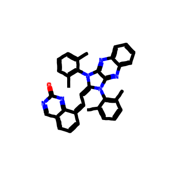 Cc1cccc(C)c1N1C(=C/C=c2/cccc3c2=NC(=O)N=C3)N(c2c(C)cccc2C)c2nc3ccccc3nc21